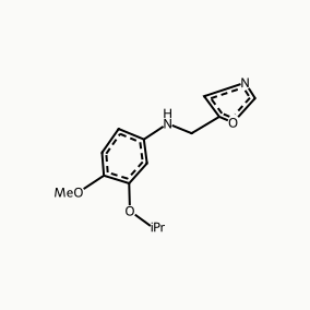 COc1ccc(NCc2cnco2)cc1OC(C)C